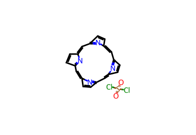 C1=CC2=NC1=CC1=NC(=CC3=NC(=CC4=NC(=C2)C=C4)C=C3)C=C1.O=S(=O)(Cl)Cl